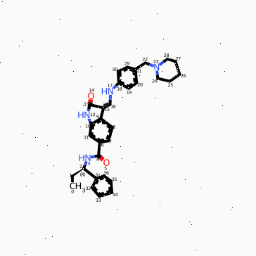 CC[C@@H](NC(=O)c1ccc2c(c1)NC(=O)/C2=C\Nc1ccc(CN2CCCCC2)cc1)c1ccccc1